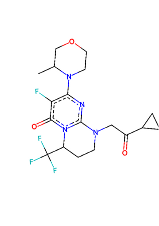 CC1COCCN1c1nc2n(c(=O)c1F)C(C(F)(F)F)CCN2CC(=O)C1CC1